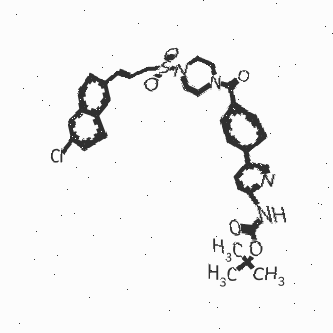 CC(C)(C)OC(=O)Nc1ccc(-c2ccc(C(=O)N3CCN(S(=O)(=O)CC=Cc4ccc5cc(Cl)ccc5c4)CC3)cc2)cn1